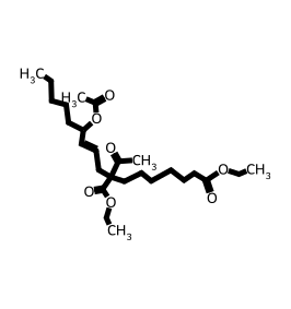 CCCCCC(C=CCC(CCCCCCC(=O)OCC)(C(C)=O)C(=O)OCC)OC(C)=O